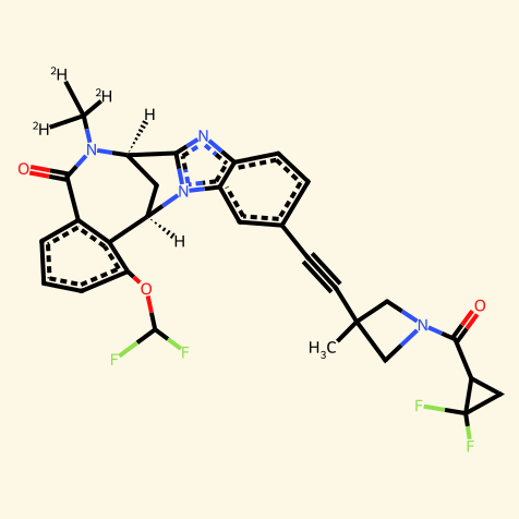 [2H]C([2H])([2H])N1C(=O)c2cccc(OC(F)F)c2[C@H]2C[C@@H]1c1nc3ccc(C#CC4(C)CN(C(=O)C5CC5(F)F)C4)cc3n12